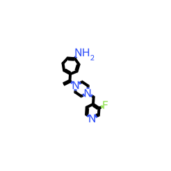 C=C(C1=CCC=C(N)C=C1)N1CCN(Cc2ccncc2F)CC1